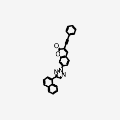 O=c1oc2cc(-n3ncc(-c4cccc5ccccc45)n3)ccc2cc1C#Cc1ccccc1